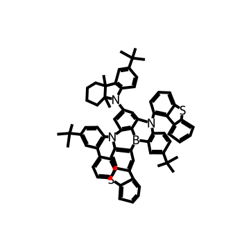 CC(C)(C)c1ccc2c(c1)B1c3cc4c(cc3N(c3ccc(C(C)(C)C)cc3-c3ccccc3)c3cc(N5c6ccc(C(C)(C)C)cc6C6(C)CCCCC56C)cc(c31)N2c1cccc2sc3ccccc3c12)sc1ccccc14